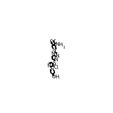 C[C@@H]1OCC2(CCN(c3cnc4nc(Sc5ccnc(N6CCC(O)CC6)c5Cl)ccc4n3)CC2)[C@@H]1N